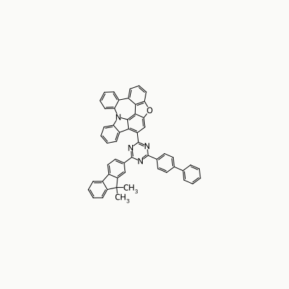 CC1(C)c2ccccc2-c2ccc(-c3nc(-c4ccc(-c5ccccc5)cc4)nc(-c4cc5oc6cccc7c8ccccc8n8c9ccccc9c4c8c5c67)n3)cc21